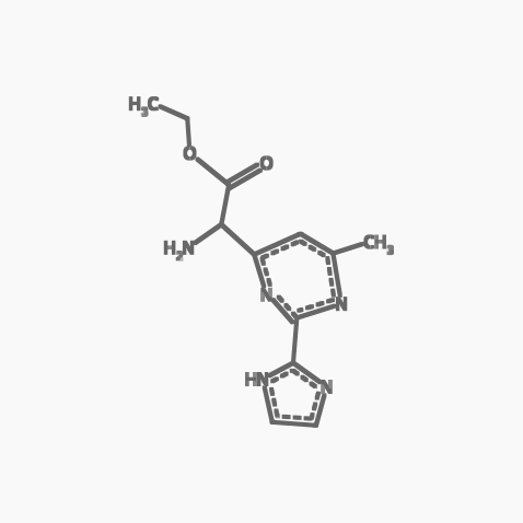 CCOC(=O)C(N)c1cc(C)nc(-c2ncc[nH]2)n1